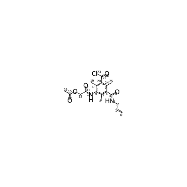 C=CCNC(=O)c1c(C)c(NC(=O)COC(C)=O)c(C)c(C(=O)Cl)c1C